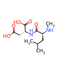 CN[C@@H](CC(C)C)C(=O)N[C@H](CC(=O)O)C(=O)O